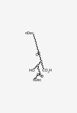 CCCCCCCCCCCCCCCCCCCCCCCCOC(=O)CCCCCN(CCCCCC(=O)O)CCCN(CCCO)CCCCCC(=C=O)OCCCCCCCCCCCCCC